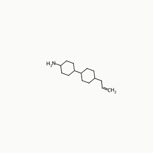 C=CCC1CCC(C2CCC(N)CC2)CC1